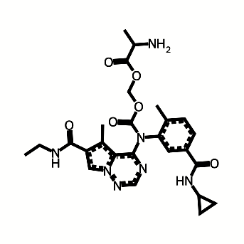 CCNC(=O)c1cn2ncnc(N(C(=O)OCOC(=O)C(C)N)c3cc(C(=O)NC4CC4)ccc3C)c2c1C